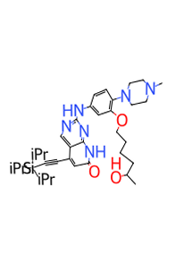 CC(O)CCCCOc1cc(Nc2ncc3c(C#C[Si](C(C)C)(C(C)C)C(C)C)cc(=O)[nH]c3n2)ccc1N1CCN(C)CC1